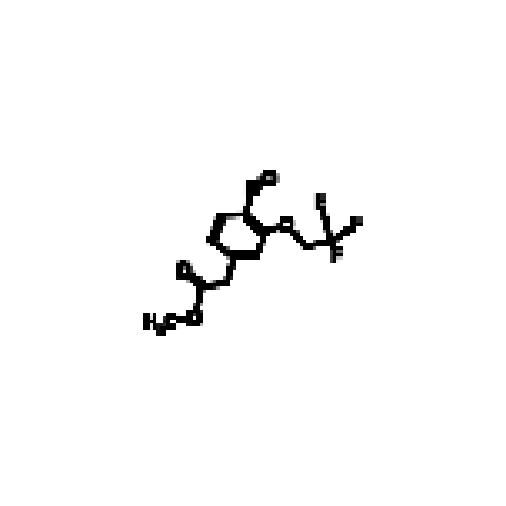 COC(=O)Cc1ccc(N=O)c(OCC(F)(F)F)c1